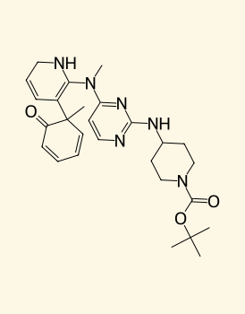 CN(C1=C(C2(C)C=CC=CC2=O)C=CCN1)c1ccnc(NC2CCN(C(=O)OC(C)(C)C)CC2)n1